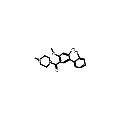 COc1cc(Cl)c(-c2ccccc2Cl)cc1C(=O)N1CCN(C)CC1